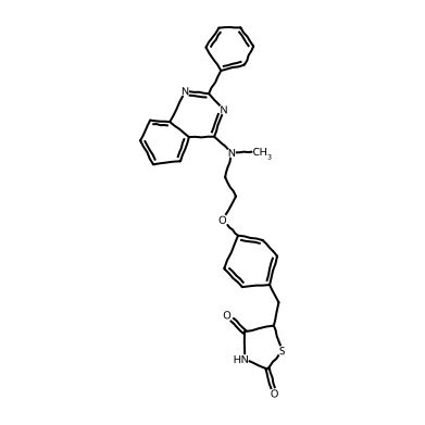 CN(CCOc1ccc(CC2SC(=O)NC2=O)cc1)c1nc(-c2ccccc2)nc2ccccc12